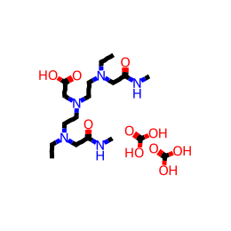 CCN(CCN(CCN(CC)CC(=O)NC)CC(=O)O)CC(=O)NC.O=C(O)O.O=C(O)O